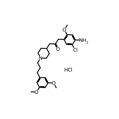 COc1cc(CCCN2CCC(CC(=O)Cc3cc(Cl)c(N)cc3OC)CC2)cc(OC)c1.Cl